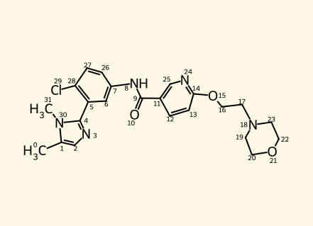 Cc1cnc(-c2cc(NC(=O)c3ccc(OCCN4CCOCC4)nc3)ccc2Cl)n1C